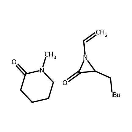 C=CN1C(=O)C1CC(C)CC.CN1CCCCC1=O